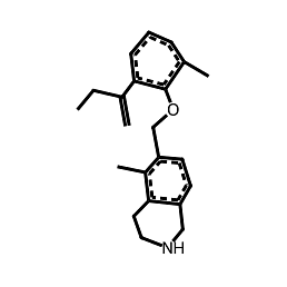 C=C(CC)c1cccc(C)c1OCc1ccc2c(c1C)CCNC2